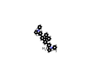 CC12CCCC1(C)N(c1ccccc1)c1ccc(-c3ccc4c(c3)C(c3ccccc3)(c3ccccc3)c3cc(-c5ccc6c(c5)C5(C)CCCC5(C)N6c5ccccc5)ccc3-4)cc12